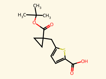 CC(C)(C)OC(=O)C1(Cc2ccc(C(=O)O)s2)CC1